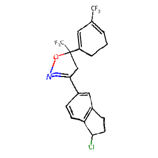 FC(F)(F)C1=CCCC(C2(C(F)(F)F)CC(c3ccc4c(c3)CCC4Cl)=NO2)=C1